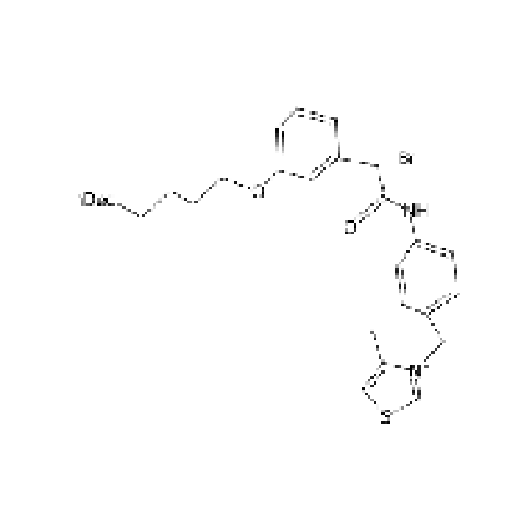 CCCCCCCCCCCCCCOc1cccc(CC(=O)Nc2ccc(C[n+]3cscc3C)cc2)c1.[Br-]